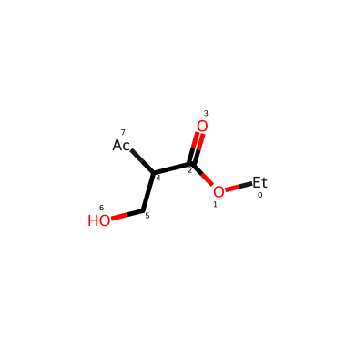 CCOC(=O)C(CO)C(C)=O